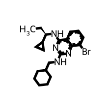 CC[C@@H](Nc1nc(NCC2CCCCC2)nc2c(Br)cccc12)C1CC1